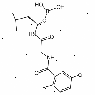 CC(C)C[C@H](NC(=O)CNC(=O)c1cc(Cl)ccc1F)OB(O)O